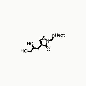 CCCCCCCCn1scc(CC(O)CO)c1=O